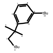 CC(C)(C)CC(C)(C)c1cc[c]c(C(C)(C)C)c1